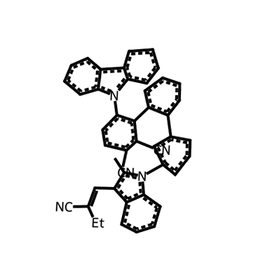 CC/C(C#N)=C\c1c(C)n(-c2cccc(-c3ccccc3-c3c(-n4c5ccccc5c5ccccc54)ccc(C#N)c3C#N)c2)c2ccccc12